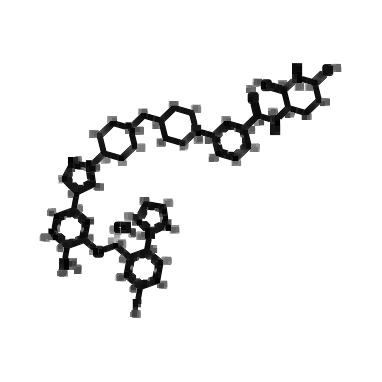 C[C@@H](Oc1cc(-c2cnn(C3CCN(CC4CCN(c5cccc(C(=O)NC6CCC(=O)NC6=O)c5)CC4)CC3)c2)cnc1N)c1cc(F)ccc1-n1nccn1